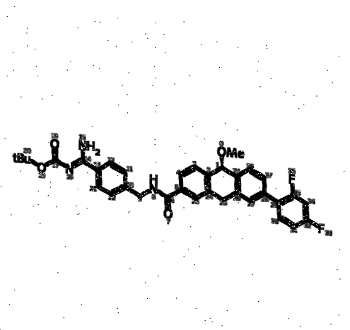 CO[C@@H]1c2ccc(C(=O)NCc3ccc(C(N)=NC(=O)OC(C)(C)C)cc3)cc2Cc2cc(-c3ccc(F)cc3F)ccc21